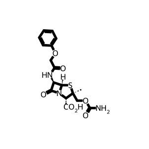 C[C@@]1(COC(N)=O)S[C@@H]2[C@H](NC(=O)COc3ccccc3)C(=O)N2[C@H]1C(=O)O